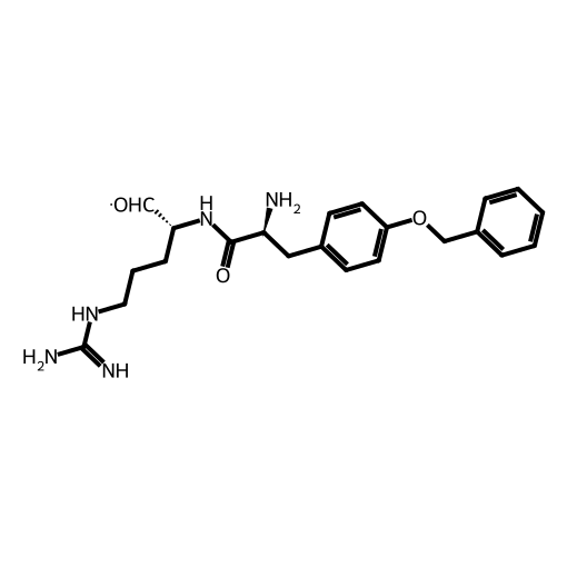 N=C(N)NCCC[C@H]([C]=O)NC(=O)[C@@H](N)Cc1ccc(OCc2ccccc2)cc1